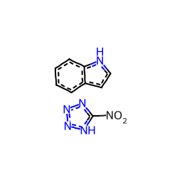 O=[N+]([O-])c1nnn[nH]1.c1ccc2[nH]ccc2c1